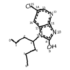 CCCC(CCC)n1c(O)nc2ncc(Cl)cc21